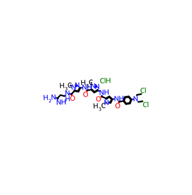 Cl.Cn1cc(NC(=O)c2ccc(N(CCCl)CCCl)cc2)cc1C(=O)Nc1cc(C(=O)Nc2cc(C(=O)NCCC(=N)N)n(C)n2)n(C)n1